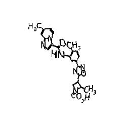 Cc1ccn2c(C(=O)Nc3cc(-c4noc(C5CN(C(=O)O)C5C)n4)ccc3C)cnc2c1